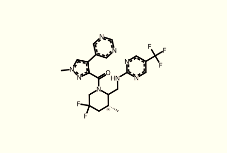 C[C@@H]1CC(F)(F)CN(C(=O)c2nn(C)cc2-c2cncnc2)C1CNc1ncc(C(F)(F)F)cn1